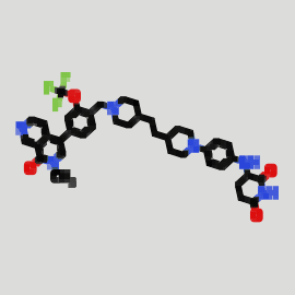 Cn1cc(-c2ccc(CN3CCC(CCC4CCN(c5ccc(NC6CCC(=O)NC6=O)cc5)CC4)CC3)c(OC(F)(F)F)c2)c2ccncc2c1=O